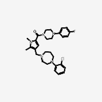 Cc1c(CN2CCCN(c3ccccc3Cl)CC2)cc(C(=O)N2CCN(c3ccc(F)cc3)CC2)n1C